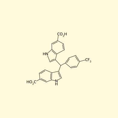 O=C(O)c1ccc2c(C(c3ccc(C(F)(F)F)cc3)c3c[nH]c4cc(C(=O)O)ccc34)c[nH]c2c1